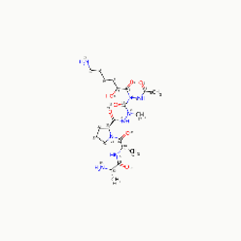 CC(=O)NN(C(=O)C(O)CCCCN)C(=O)N(C)NC(=O)[C@@H]1CCCN1C(=O)[C@H](C)NC(=O)[C@H](C)N